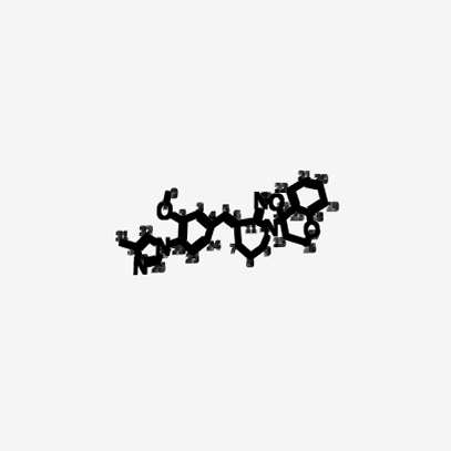 COc1cc(C=C2CCCN3C2=NOC32CCOc3ccccc32)ccc1-n1cnc(C)c1